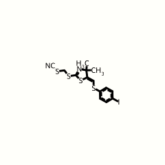 CC1(C)N=C(SCSC#N)SC1=CSc1ccc(I)cc1